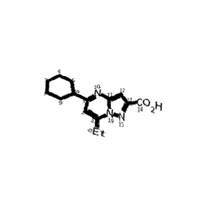 CCc1cc(C2CCCCC2)nc2cc(C(=O)O)nn12